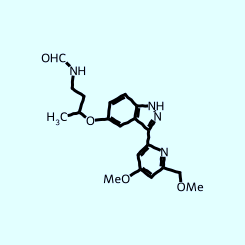 COCc1cc(OC)cc(-c2n[nH]c3ccc(OC(C)CCNC=O)cc23)n1